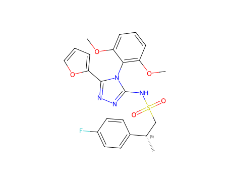 COc1cccc(OC)c1-n1c(NS(=O)(=O)C[C@H](C)c2ccc(F)cc2)nnc1-c1ccco1